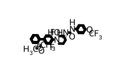 CP(C)(=O)c1ccccc1-c1cc(F)c(N2CCC[C@@H](NC(=O)Nc3ccc(OC(F)(F)F)cc3)C2O)c(F)c1